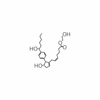 CCCCCC(O)c1ccc(C2C(C/C=C\CCCC(=O)OCCO)=CC[C@H]2O)cc1